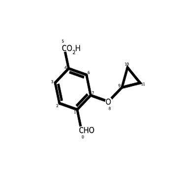 O=Cc1ccc(C(=O)O)cc1OC1CC1